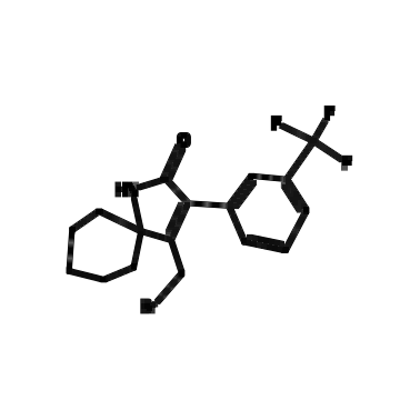 O=C1NC2(CCCCC2)C(CBr)=C1c1cccc(C(F)(F)F)c1